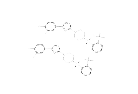 Cc1ccc(-c2csc(N3CCN(S(=O)(=O)c4ccccc4C(F)(F)F)CC3)n2)cc1C.O=S(=O)(c1ccccc1C(F)(F)F)N1CCN(c2nc(-c3ccc(F)c(F)c3)cs2)CC1